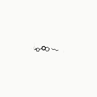 CCCCCC[C@H]1CCc2cc(C3CC[C@](N)(CO)C3)ccc2C1